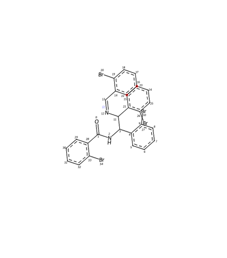 O=C(NC(c1ccccc1Br)C(/N=C\c1ccccc1Br)c1ccccc1Br)c1ccccc1Br